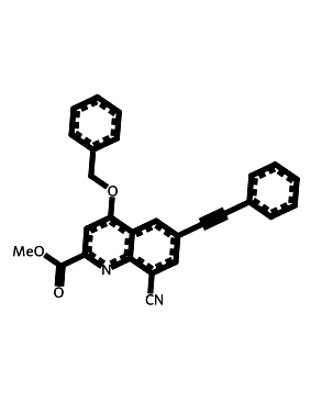 COC(=O)c1cc(OCc2ccccc2)c2cc(C#Cc3ccccc3)cc(C#N)c2n1